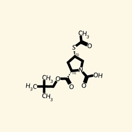 CC(=O)S[C@H]1C[C@@H](C(=O)OCC(C)(C)C)N(C(=O)O)C1